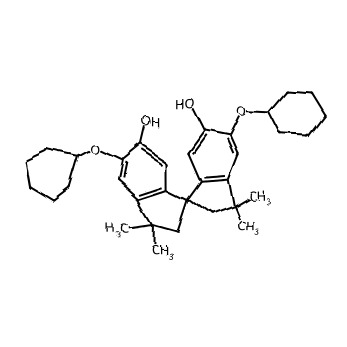 CC1(C)CC2(CC(C)(C)c3cc(OC4CCCCC4)c(O)cc32)c2cc(O)c(OC3CCCCC3)cc21